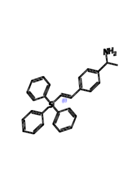 CC(N)c1ccc(/C=C/[Si](c2ccccc2)(c2ccccc2)c2ccccc2)cc1